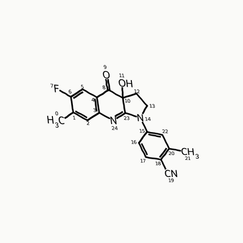 Cc1cc2c(cc1F)C(=O)C1(O)CCN(c3ccc(C#N)c(C)c3)C1=N2